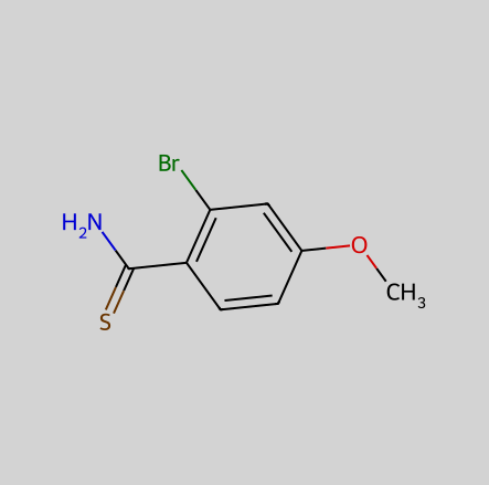 COc1ccc(C(N)=S)c(Br)c1